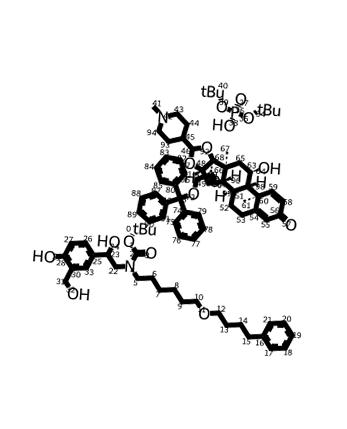 CC(C)(C)OC(=O)N(CCCCCCOCCCCc1ccccc1)CC(O)c1ccc(O)c(CO)c1.CC(C)(C)OP(=O)(O)OC(C)(C)C.CN1CCC(C2O[C@H]3C[C@H]4[C@@H]5CCC6=CC(=O)C=C[C@]6(C)[C@H]5[C@@H](O)C[C@]4(C)[C@]3(C(=O)COC(c3ccccc3)(c3ccccc3)c3ccccc3)O2)CC1